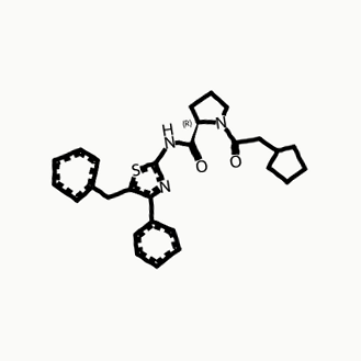 O=C(Nc1nc(-c2ccccc2)c(Cc2ccccc2)s1)[C@H]1CCCN1C(=O)CC1CCCC1